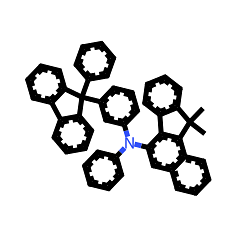 CC1(C)c2ccccc2-c2c(N(c3ccccc3)c3cccc(C4(c5ccccc5)c5ccccc5-c5ccccc54)c3)cc3ccccc3c21